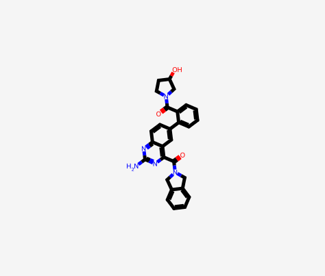 Nc1nc(C(=O)N2Cc3ccccc3C2)c2cc(-c3ccccc3C(=O)N3CCC(O)C3)ccc2n1